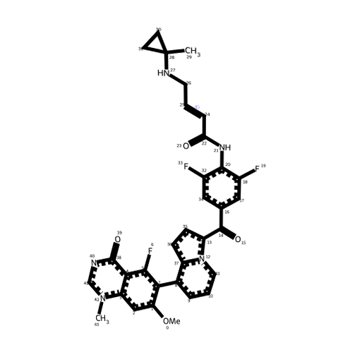 COc1cc2c(c(F)c1-c1cccn3c(C(=O)c4cc(F)c(NC(=O)/C=C/CNC5(C)CC5)c(F)c4)ccc13)c(=O)ncn2C